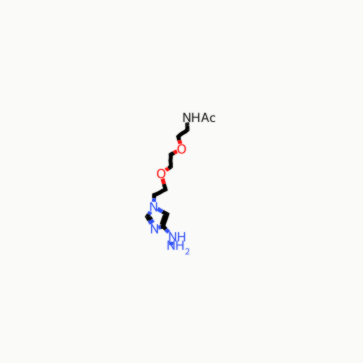 CC(=O)NCCOCCOCCn1cnc(NN)c1